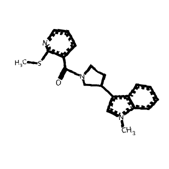 CSc1ncccc1C(=O)N1CCC(c2cn(C)c3ccccc23)C1